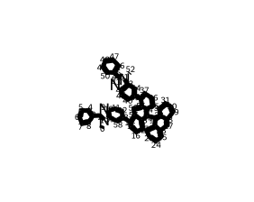 Cn1c(-c2ccccc2)nc2ccc(-c3cccc4c(-c5c6ccccc6cc6ccccc56)c5cccc(-c6ccc7nc(-c8ccccc8)n(C)c7c6)c5cc34)cc21